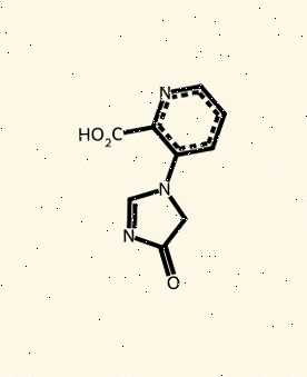 O=C1CN(c2cccnc2C(=O)O)C=N1